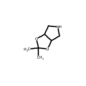 CC1(C)OC2CNCC2O1